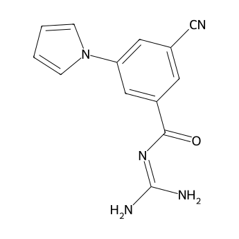 N#Cc1cc(C(=O)N=C(N)N)cc(-n2cccc2)c1